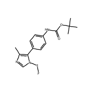 Cc1ncn(SF)c1-c1ccc(NC(=O)OC(C)(C)C)cc1